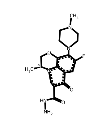 C[C@H]1COc2c(N3CCN(C)CC3)c(F)cc3c(=O)c(C(=O)NN)cn1c23